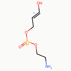 NCCO[PH](=O)OC/C=C/O